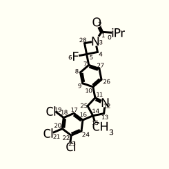 CC(C)C(=O)N1CC(F)(c2ccc(C3=NCC(C)(c4cc(Cl)c(Cl)c(Cl)c4)C3)cc2)C1